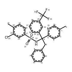 Cc1ccc(C(Cc2ccccc2)(NS(=O)(=O)c2ccc(C)c(Cl)c2)c2cccc(C(F)(F)F)c2)nc1